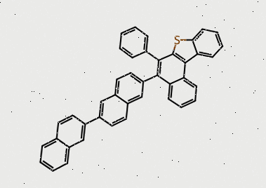 c1ccc(-c2c(-c3ccc4cc(-c5ccc6ccccc6c5)ccc4c3)c3ccccc3c3c2sc2ccccc23)cc1